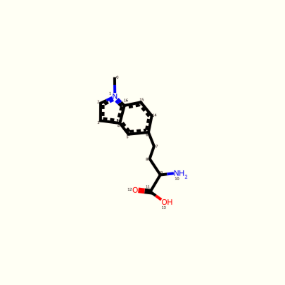 Cn1ccc2cc(CCC(N)C(=O)O)ccc21